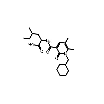 CCC(C)CC(NC(=O)c1cc(C)c(C)n(CC2CCCCC2)c1=O)C(=O)O